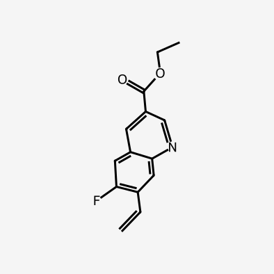 C=Cc1cc2ncc(C(=O)OCC)cc2cc1F